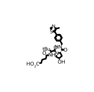 Cc1ncsc1-c1ccc(CNC(=O)[C@@H]2C[C@@H](O)CN2C(=O)C(NC(=O)CCCC(=O)O)C(C)(C)C)cc1